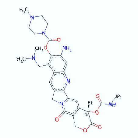 CC[C@@]1(OC(=O)NC(C)C)C(=O)OCc2c1cc1n(c2=O)Cc2cc3c(CN(C)C)c(OC(=O)N4CCN(C)CC4)c(N)cc3nc2-1